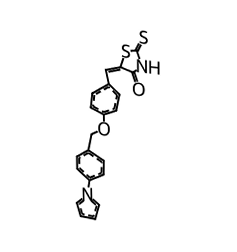 O=C1NC(=S)SC1=Cc1ccc(OCc2ccc(-n3cccc3)cc2)cc1